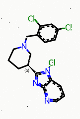 Clc1ccc(CN2CCC[C@H](c3nc4ncccc4n3Cl)C2)c(Cl)c1